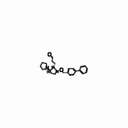 O=CCC[C@H]1[C@H](N2CCCC2)CC[C@H]1OCc1ccc(-c2ccccc2)cc1